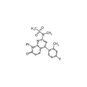 Cc1cc(F)ccc1-c1nc(N(C)S(C)(=O)=O)nc2c1ccc(=O)n2C(C)C